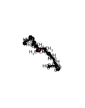 Cc1c(-c2ccc(N3CCc4cccc(C(=O)Nc5nc6ccccc6s5)c4C3)nc2C(=O)O)cnn1CC12CC3(C)CC(C)(C1)CC(OCCN(C)C(=O)OCc1ccc(NC(=O)CNC(=O)CNC(=O)CN4C(=O)[C@@H](N5C(=O)C=CC5=O)C[C@H]4COCCS(=O)(=O)O)cc1)(C3)C2